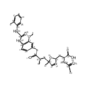 COc1cc(CC(=O)N(C)CC2(C)C=NC(CC(NC(C)=O)C(=O)O)O2)ccc1NC(=O)Nc1ccccc1C